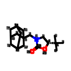 CC(C)(C)[C@H]1CN(CC23CC4CC(CC(C4)C2)C3)C(=O)O1